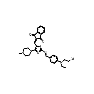 CCN(CCO)c1ccc(/N=N/c2nc(N3CCN(C)CC3)c(C=C3C(=O)c4ccccc4C3=O)s2)cc1